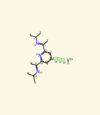 CC(=NC(C)C)c1cccc(C(C)=NC(C)C)n1.[Cl-].[Cl-].[Cl-].[V+3]